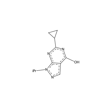 CC(C)n1ncc2c(O)nc(C3CC3)nc21